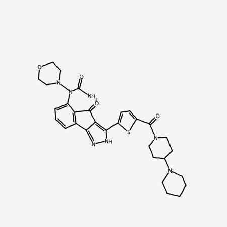 NC(=O)N(c1cccc2c1C(=O)c1c-2n[nH]c1-c1ccc(C(=O)N2CCC(N3CCCCC3)CC2)s1)N1CCOCC1